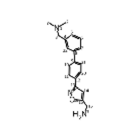 CN(C)Cc1cccc(-c2ccc(-c3cc(CN)on3)cc2)c1